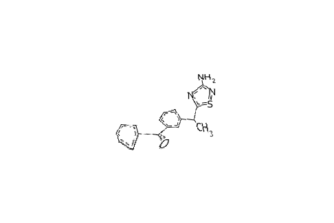 CC(c1cccc(C(=O)c2ccccc2)c1)c1nc(N)ns1